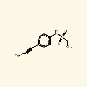 CC#Cc1ccc(NS(=O)(=O)CC)cc1